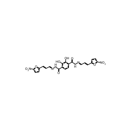 O=C(N/N=C/C=C/c1ccc([N+](=O)[O-])o1)c1ccc(C(=O)N/N=C/C=C/c2ccc([N+](=O)[O-])o2)c(O)c1O